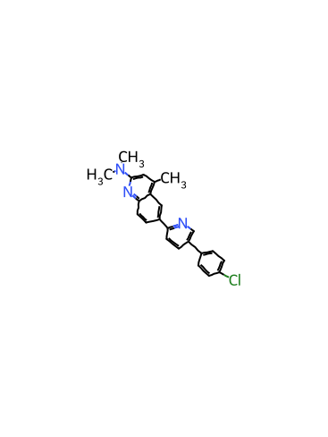 Cc1cc(N(C)C)nc2ccc(-c3ccc(-c4ccc(Cl)cc4)cn3)cc12